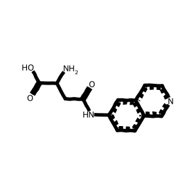 NC(CC(=O)Nc1ccc2cnccc2c1)C(=O)O